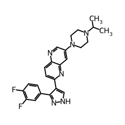 CC(C)N1CCN(c2cnc3ccc(-c4c[nH]nc4-c4ccc(F)c(F)c4)nc3c2)CC1